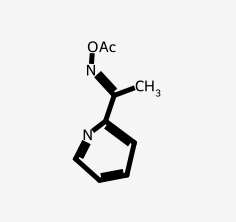 CC(=O)ON=C(C)c1ccccn1